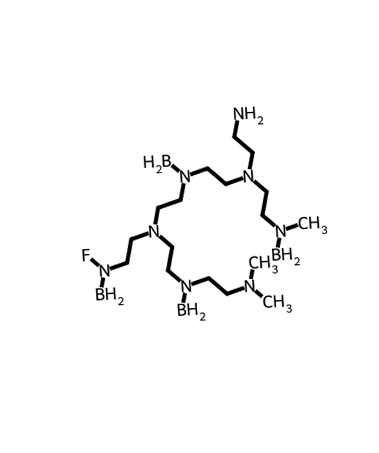 BN(C)CCN(CCN)CCN(B)CCN(CCN(B)F)CCN(B)CCN(C)C